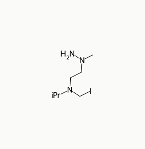 CC(C)N(CI)CCN(C)N